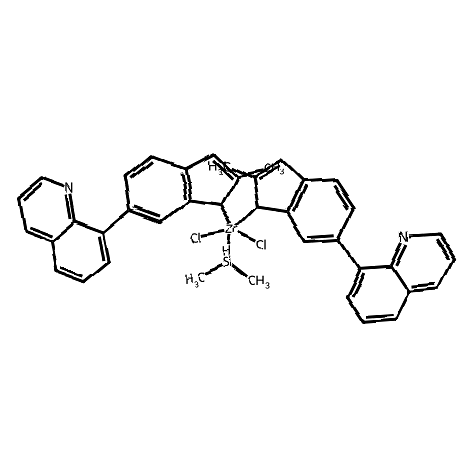 CC1=Cc2ccc(-c3cccc4cccnc34)cc2[CH]1[Zr]([Cl])([Cl])([CH]1C(C)=Cc2ccc(-c3cccc4cccnc34)cc21)[SiH](C)C